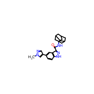 Cn1cc(-c2ccc3[nH]nc(C(=O)NC45CC6CC(CC(C6)C4)C5)c3c2)cn1